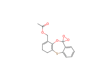 CC(=O)OCC1=CCCC2=C1OC1(OO1)c1ccccc1S2